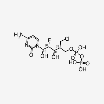 Nc1ccn([C@H](O)[C@H](F)[C@H](O)[C@@H](CCl)COP(=O)(O)OP(=O)(O)O)c(=O)n1